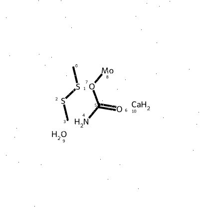 CSSC.NC(=O)[O][Mo].O.[CaH2]